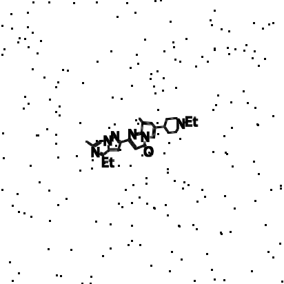 CCc1nc(C)cn2nc(-c3cc(=O)n4cc(C5CCN(CC)CC5)cc(C)c4n3)cc12